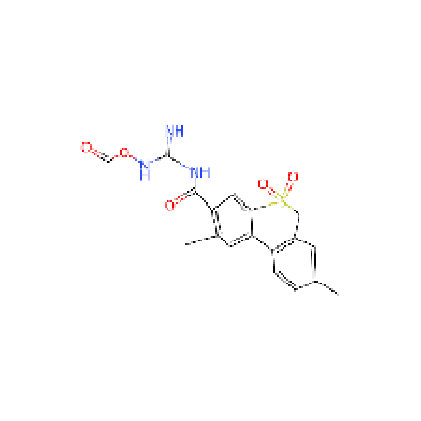 Cc1ccc2c(c1)CS(=O)(=O)c1cc(C(=O)NC(=N)NOC=O)c(C)cc1-2